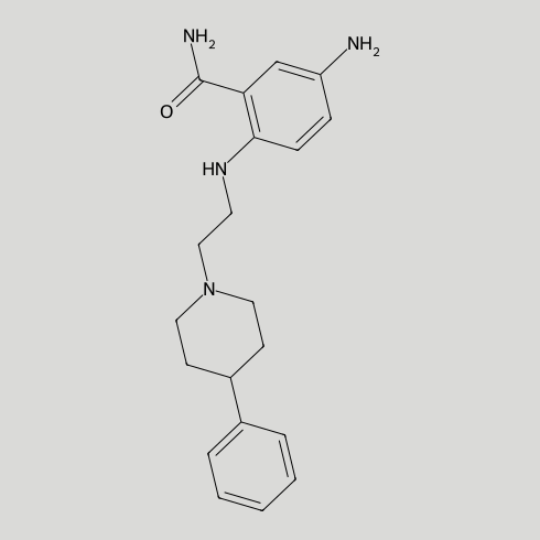 NC(=O)c1cc(N)ccc1NCCN1CCC(c2ccccc2)CC1